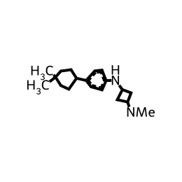 CNC1CC(Nc2ccc(C3CCC(C)(C)CC3)cc2)C1